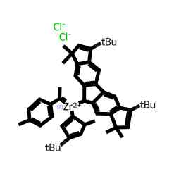 C/[C](c1ccc(C)cc1)=[Zr+2](/[C]1=CC(C(C)(C)C)=CC1C)[CH]1c2cc3c(cc2-c2cc4c(cc21)C(C)(C)C=C4C(C)(C)C)C(C(C)(C)C)=CC3(C)C.[Cl-].[Cl-]